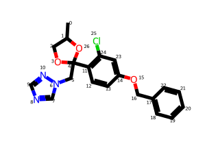 CC1COC(Cn2cncn2)(c2ccc(OCc3ccccc3)cc2Cl)O1